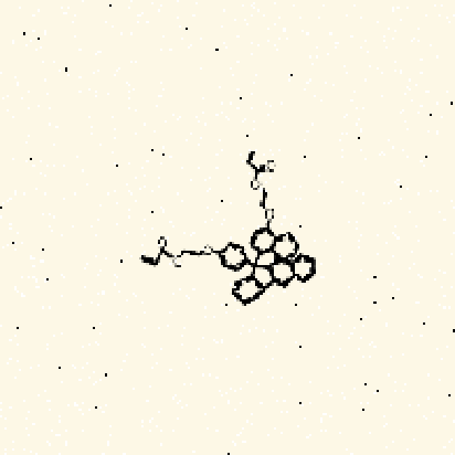 C=CC(=O)OCCOc1ccc(C2(c3ccc(OCCOC(=O)C=C)c4ccccc34)c3ccccc3-c3cc4ccccc4cc32)cc1